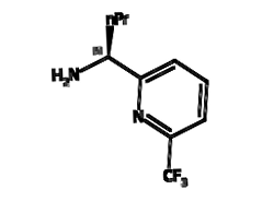 CCC[C@H](N)c1cccc(C(F)(F)F)n1